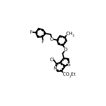 CCOC(=O)c1cnc(Cl)c2c(COc3cc(C)cc(OCc4ccc(F)cc4F)c3)csc12